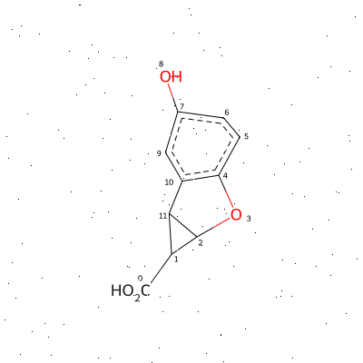 O=C(O)C1C2Oc3ccc(O)cc3C21